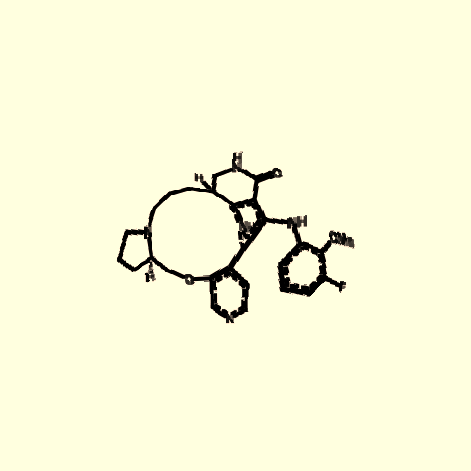 COc1c(F)cccc1Nc1c2[nH]c3c1C(=O)NC[C@H]3CCCN1CCC[C@@H]1COc1cnccc1-2